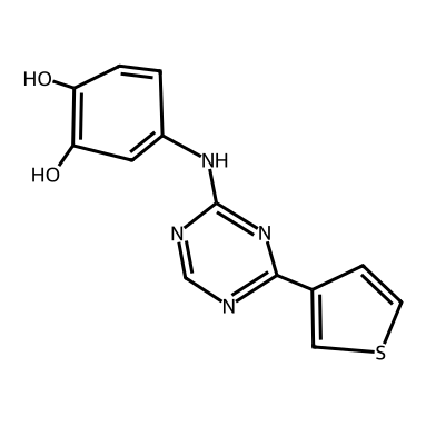 Oc1ccc(Nc2ncnc(-c3ccsc3)n2)cc1O